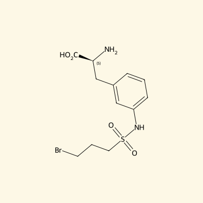 N[C@@H](Cc1cccc(NS(=O)(=O)CCCBr)c1)C(=O)O